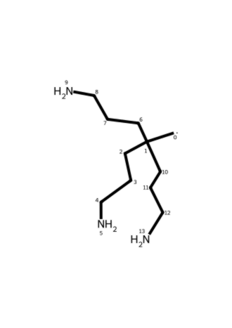 [CH2]C(CCCN)(CCCN)CCCN